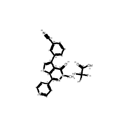 Cn1nc(-c2ccncc2)c2scc(-c3cccc(C#N)c3)c2c1=O.O=C(O)C(F)(F)F